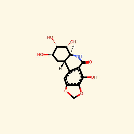 O=C1N[C@@H]2[C@@H](O)[C@@H](O)[C@H](O)C[C@H]2c2cc3c(c(O)c21)OCO3